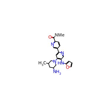 CNC(=O)c1ccc(-c2cc(N3CC(C)CC(N)C3)c(Nc3ccco3)cn2)cn1